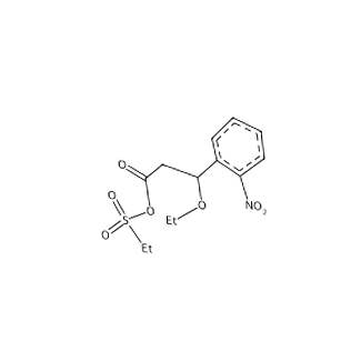 CCOC(CC(=O)OS(=O)(=O)CC)c1ccccc1[N+](=O)[O-]